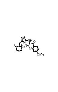 CCCC(N)C(Nc1nc(Cc2ccccc2F)ns1)C(=O)c1ccc(OC)cc1